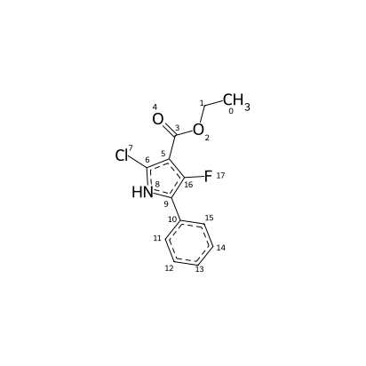 CCOC(=O)c1c(Cl)[nH]c(-c2ccccc2)c1F